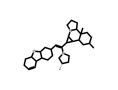 CC1CCC2(C)C(C1)C1C(/C(=C/C3CCC4C(C3)OC3CCC=CC34)N3CC[C@H](C)C3)C1N1CCCC12